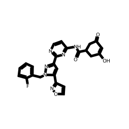 O=C1C=C(O)CC(C(=O)Nc2ccnc(-c3cc(-c4ccon4)n(Cc4ccccc4F)n3)n2)C1